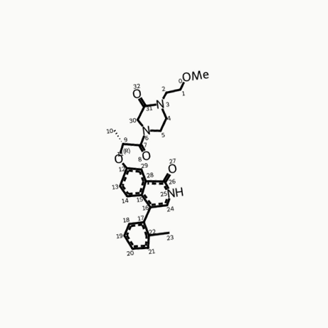 COCCN1CCN(C(=O)[C@@H](C)Oc2ccc3c(-c4ccccc4C)c[nH]c(=O)c3c2)CC1=O